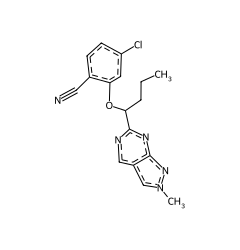 CCCC(Oc1cc(Cl)ccc1C#N)c1ncc2cn(C)nc2n1